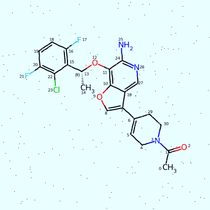 CC(=O)N1CC=C(c2coc3c(O[C@H](C)c4c(F)ccc(F)c4Cl)c(N)ncc23)CC1